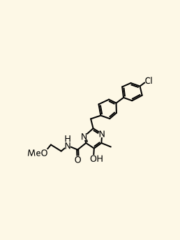 COCCNC(=O)c1nc(Cc2ccc(-c3ccc(Cl)cc3)cc2)nc(C)c1O